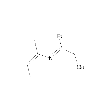 C/C=C(C)\N=C(/CC)CC(C)(C)C